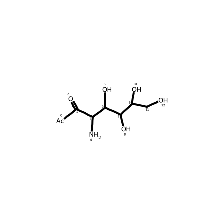 CC(=O)C(=O)C(N)C(O)C(O)C(O)CO